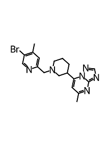 Cc1cc(C2CCCN(Cc3cc(C)c(Br)cn3)C2)n2ncnc2n1